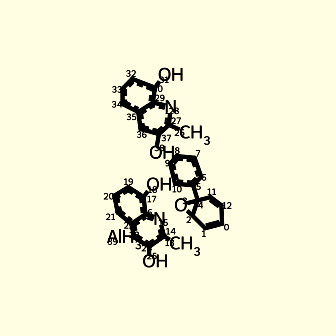 C1=CC2OC2(c2ccccc2)C=C1.Cc1nc2c(O)cccc2cc1O.Cc1nc2c(O)cccc2cc1O.[AlH3]